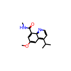 CNC(=O)c1cc(OC)cc2c(C(C)C)ccnc12